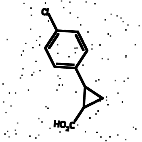 O=C(O)C1CC1c1ccc(Cl)cc1